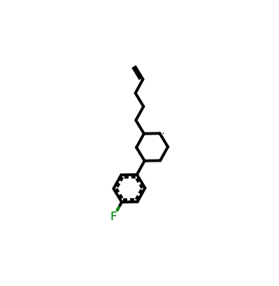 C=CCCCC1[CH]CCC(c2ccc(F)cc2)C1